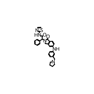 O=C(Nc1nccs1)C(c1ccccc1)N1Cc2cc(Nc3cccc(CN4CCCC4)c3)ccc2C1=O